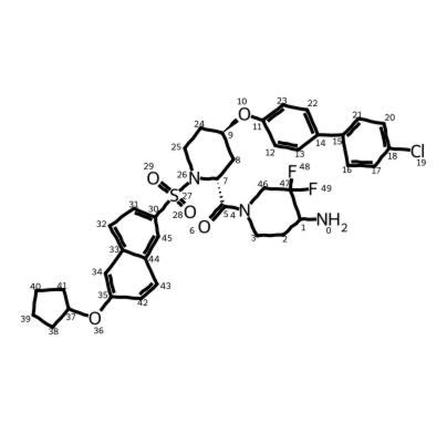 NC1CCN(C(=O)[C@H]2C[C@H](Oc3ccc(-c4ccc(Cl)cc4)cc3)CCN2S(=O)(=O)c2ccc3cc(OC4CCCC4)ccc3c2)CC1(F)F